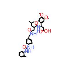 COc1ccc(C(CC(=O)O)NC(=O)C(CC(=O)NCc2ccc(NC(=O)Nc3ccccc3C)cc2)CC(C)C)cc1OC